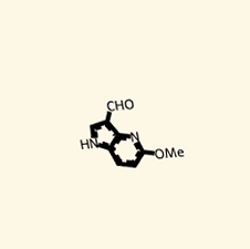 COc1ccc2[nH]cc(C=O)c2n1